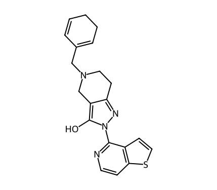 Oc1c2c(nn1-c1nccc3sccc13)CCN(CC1=CCCC=C1)C2